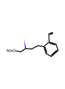 C=Cc1ccccc1CCC(I)COC